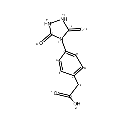 O=C(O)Cc1ccc(-n2c(=O)[nH][nH]c2=O)cc1